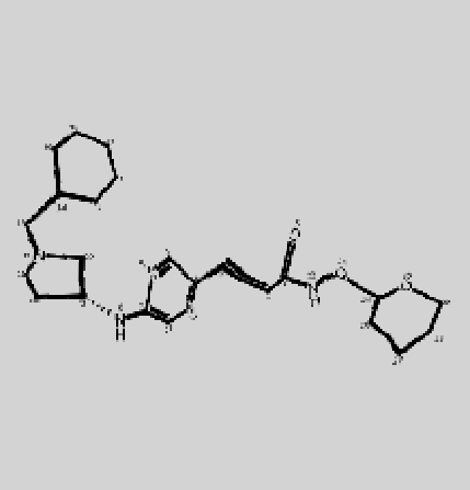 O=C(C=Cc1cnc(N[C@@H]2CCN(CC3CCCCC3)C2)cn1)NOC1CCCCO1